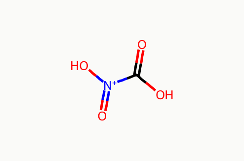 O=C(O)[N+](=O)O